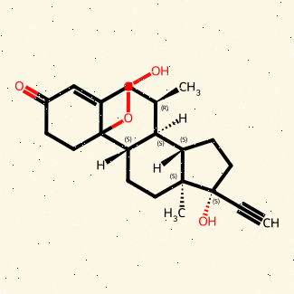 C#C[C@]1(O)CC[C@H]2[C@@H]3[C@H](C)CC4=CC(=O)CCC4(OOO)[C@H]3CC[C@@]21C